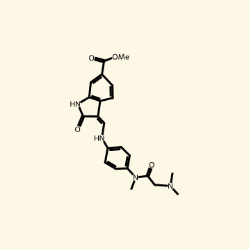 COC(=O)c1ccc2c(c1)NC(=O)C2=CNc1ccc(N(C)C(=O)CN(C)C)cc1